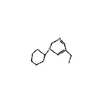 CCC1=CN(C2CCCCC2)CN=C1